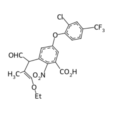 CCOC=C(C)C(C=O)c1cc(Oc2ccc(C(F)(F)F)cc2Cl)cc(C(=O)O)c1[N+](=O)[O-]